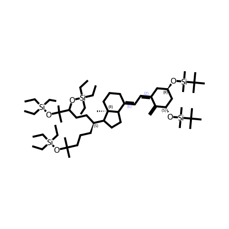 C=C1/C(=C\C=C2/CCC[C@@]3(C)C2CCC3[C@@H](CCCC(C)(C)O[Si](CC)(CC)CC)CCC(O[Si](CC)(CC)CC)C(C)(C)O[Si](CC)(CC)CC)C[C@@H](O[Si](C)(C)C(C)(C)C)C[C@@H]1O[Si](C)(C)C(C)(C)C